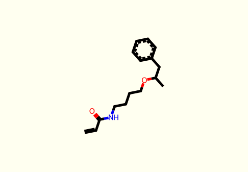 C=CC(=O)NCCCCOC(C)Cc1ccccc1